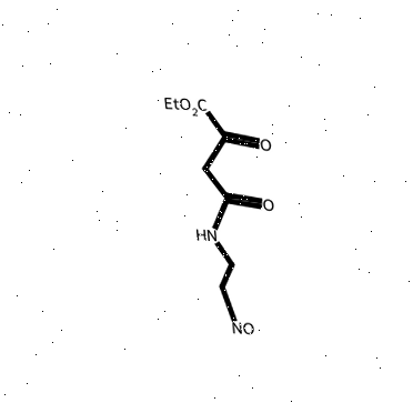 CCOC(=O)C(=O)CC(=O)NCCN=O